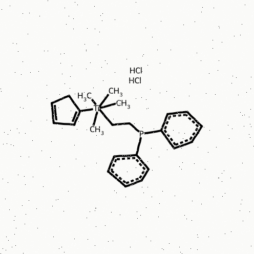 Cl.Cl.[CH3][Ti]([CH3])([CH3])([CH3])([CH2]CP(c1ccccc1)c1ccccc1)[C]1=CC=CC1